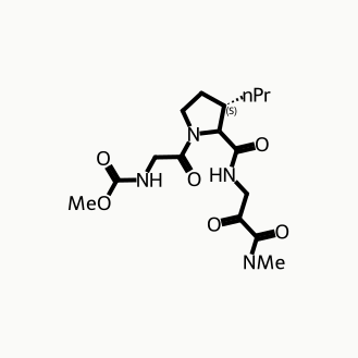 CCC[C@H]1CCN(C(=O)CNC(=O)OC)C1C(=O)NCC(=O)C(=O)NC